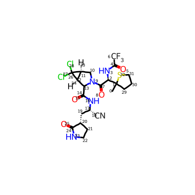 CC1([C@H](NC(=O)C(F)(F)F)C(=O)N2C[C@H]3[C@@H](C2C(=O)N[C@H](C#N)C[C@@H]2CCNC2=O)C3(Cl)Cl)CCCS1